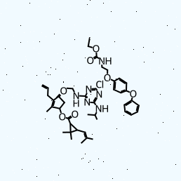 C=CCC1=C(C)C(OC(=O)C2C(C=C(C)C)C2(C)C)CC1=O.CCNc1nc(Cl)nc(NC(C)C)n1.CCOC(=O)NCCOc1ccc(Oc2ccccc2)cc1